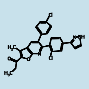 CCC(=O)c1oc2nc(-c3ccc(-c4cc[nH]n4)cc3Cl)c(-c3ccc(Cl)cc3)cc2c1C